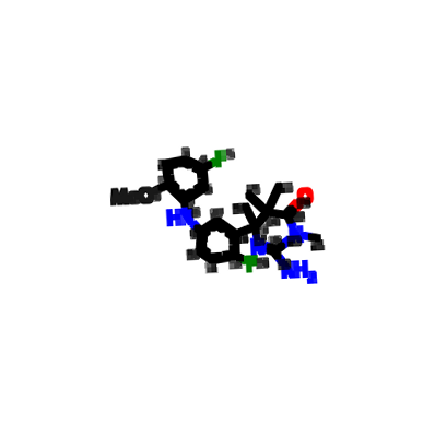 COc1ccc(F)cc1Nc1ccc(F)c(C2(C)N=C(N)N(C)C(=O)C2(C)C)c1